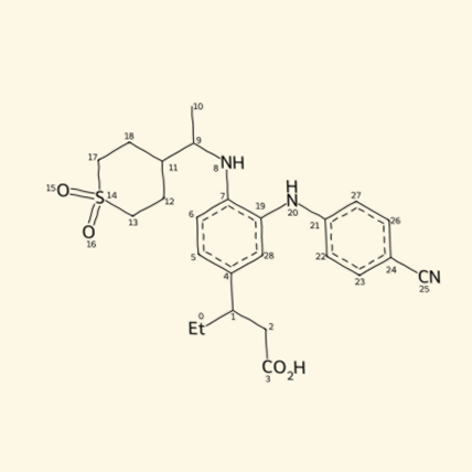 CCC(CC(=O)O)c1ccc(NC(C)C2CCS(=O)(=O)CC2)c(Nc2ccc(C#N)cc2)c1